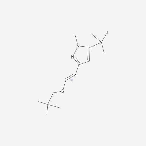 Cn1nc(/C=C/SCC(C)(C)C)cc1C(C)(C)I